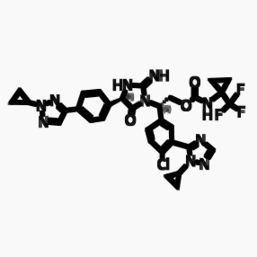 N=C1N[C@H](c2ccc(-c3cnn(C4CC4)n3)cc2)C(=O)N1[C@H](COC(=O)NC1(C(F)(F)F)CC1)c1ccc(Cl)c(-c2ncnn2C2CC2)c1